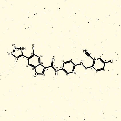 N#Cc1cc(Cl)ccc1COc1ccc(NC(=O)c2coc3cc(-c4nnn[nH]4)c(F)cc23)cc1